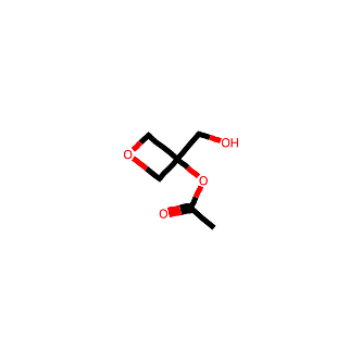 CC(=O)OC1(CO)COC1